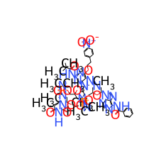 COC(CN(C)P(=O)(OCC1CN(P(=O)(OCC2CN(C)CC(n3cnc4c(NC(=O)c5ccccc5)ncnc43)O2)N(C)C)CC(n2cnc3c(OCCc4ccc([N+](=O)[O-])cc4)nc(NC(=O)C(C)C)nc32)O1)N(C)C)n1cc(C)c(=O)[nH]c1=O